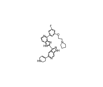 Fc1cc(OCCN2CCCC2)cc(-c2nccc3[nH]c(-c4n[nH]c5cnc(C6=CCNCC6)cc45)nc23)c1